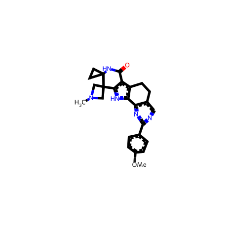 COc1ccc(-c2ncc3c(n2)-c2[nH]c4c(c2CC3)C(=O)NC2(CC2)C42CN(C)C2)cc1